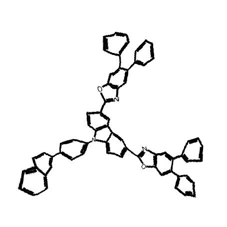 c1ccc(-c2cc3nc(-c4ccc5c(c4)c4cc(-c6nc7cc(-c8ccccc8)c(-c8ccccc8)cc7o6)ccc4n5-c4ccc(-c5ccc6ccccc6c5)cc4)oc3cc2-c2ccccc2)cc1